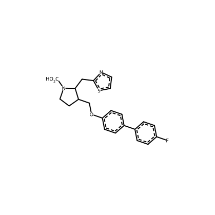 O=C(O)N1CCC(COc2ccc(-c3ccc(F)cc3)cc2)C1Cc1nccs1